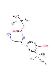 CC(C)(C)OC(=O)NC(CN)Cc1ccc(O)c(C(C)(C)C)c1